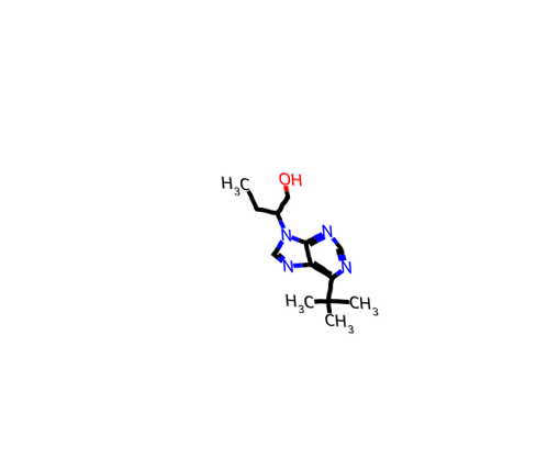 CCC(CO)n1cnc2c(C(C)(C)C)ncnc21